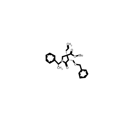 C=CC[C@@]1(C(=O)OC(C)(C)C)CN([C@H](C)c2ccccc2)C(=O)[C@H]1COCc1ccccc1